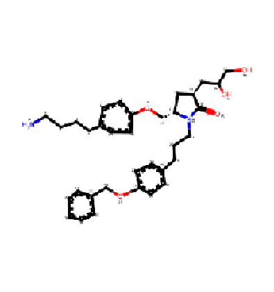 NCCCCc1ccc(OC[C@@H]2C[C@@H](CC(O)CO)C(=O)N2CCCc2ccc(OCc3ccccc3)cc2)cc1